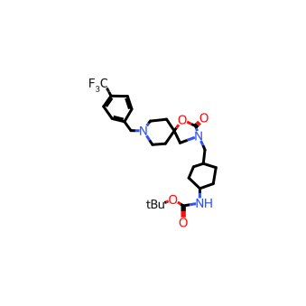 CC(C)(C)OC(=O)NC1CCC(CN2CC3(CCN(Cc4ccc(C(F)(F)F)cc4)CC3)OC2=O)CC1